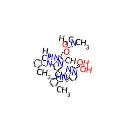 Cc1cccc(C)c1CNc1cccn2c(C(O)O)cnc12.Cc1cccc(C)c1CNc1cccn2c(C)c(COC(=O)CN(C)C)nc12